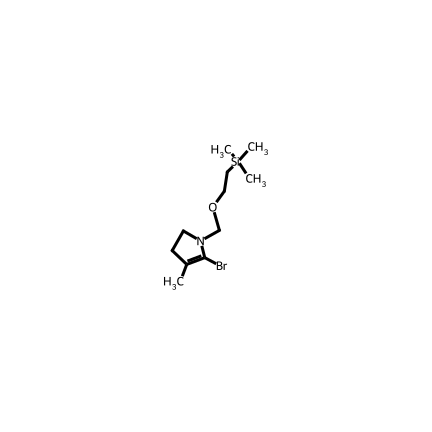 CC1=C(Br)N(COCC[Si](C)(C)C)CC1